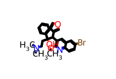 COc1nc2ccc(Br)cc2cc1C(c1ccoc1)C(O)(CCN(C)C)c1ccccc1